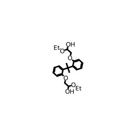 CCOC(O)COc1ccccc1C(C)(C)c1ccccc1OCC(O)OCC